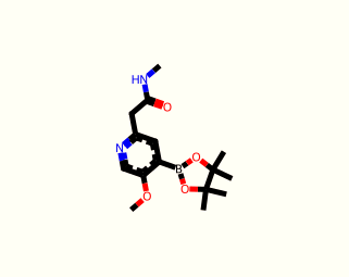 CNC(=O)Cc1cc(B2OC(C)(C)C(C)(C)O2)c(OC)cn1